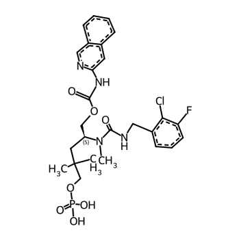 CN(C(=O)NCc1cccc(F)c1Cl)[C@H](COC(=O)Nc1cc2ccccc2cn1)CC(C)(C)COP(=O)(O)O